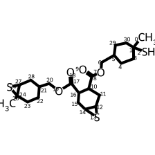 CC1(S)CCC(COC(=O)C2CC3SC3CC2C(=O)OCC2CCC3(C)SC3C2)CC1